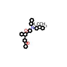 CC1(C)c2ccccc2-c2ccc(N(c3ccc4ccccc4c3)c3ccc4c(c3)oc3c5ccccc5c(-c5ccc6c(c5)oc5ccccc56)cc43)cc21